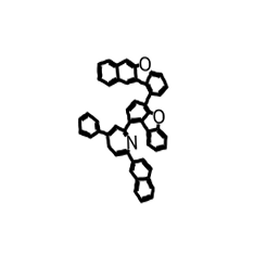 C1=C(c2ccccc2)CC=C(c2ccc3ccccc3c2)N=C1c1ccc(-c2cccc3oc4cc5ccccc5cc4c23)c2oc3ccccc3c12